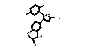 Cc1ccc(C)c(-n2nc(C(F)(F)F)cc2-c2ccc3c(c2)NC(=O)CO3)c1